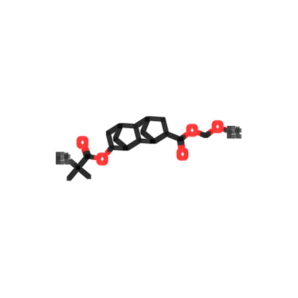 CCOCOC(=O)C1CC2CC1C1C3CC(CC3OC(=O)C(C)(C)CC)C21